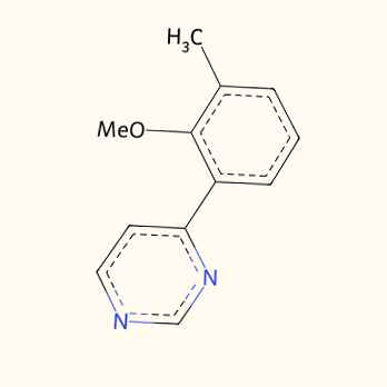 COc1c(C)cccc1-c1ccncn1